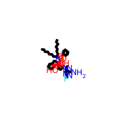 C#C[C@]1(COP(=O)(Oc2ccccc2)N(C(CCCCCCC)CCCCCCC)C(Cc2ccccc2)C(=O)O)O[C@@H](n2cnc3c(N)nc(F)nc32)C[C@@H]1O